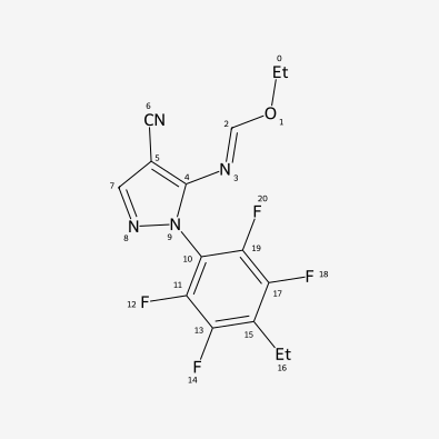 CCOC=Nc1c(C#N)cnn1-c1c(F)c(F)c(CC)c(F)c1F